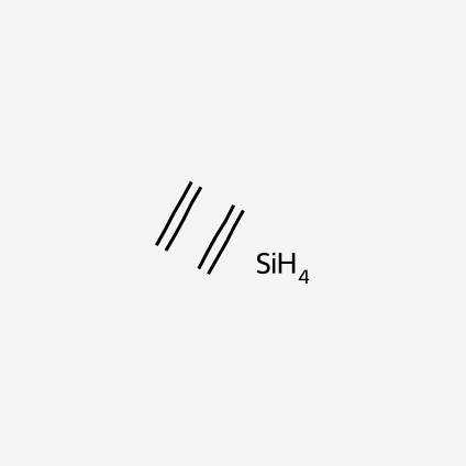 C=C.C=C.[SiH4]